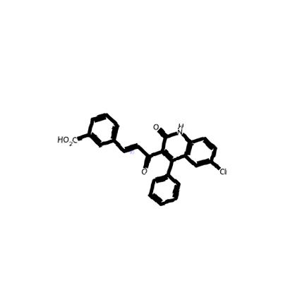 O=C(O)c1cccc(/C=C/C(=O)c2c(-c3ccccc3)c3cc(Cl)ccc3[nH]c2=O)c1